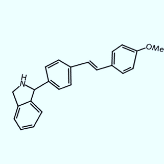 COc1ccc(C=Cc2ccc(C3NCc4ccccc43)cc2)cc1